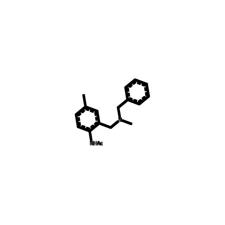 CC(=O)Nc1ccc(C)cc1CN(C)Cc1ccccc1